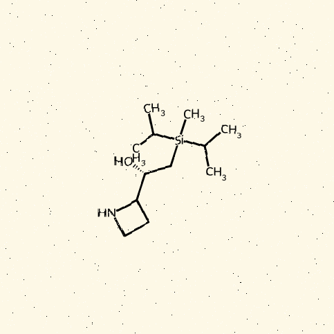 CC(C)[Si](C)(C[C@@H](O)C1CCN1)C(C)C